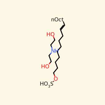 CCCCCCCCC=CCCCCCCCCOS(=O)(=O)O.OCCNCCO